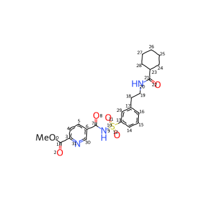 COC(=O)c1ccc(C(=O)NS(=O)(=O)c2cccc(CCNC(=O)C3CCCCC3)c2)cn1